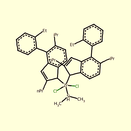 CCCC1=Cc2c(ccc(C(C)C)c2-c2ccccc2CC)[CH]1[Zr]([Cl])([Cl])([CH]1C(CCC)=Cc2c1ccc(C(C)C)c2-c1ccccc1CC)[SiH](C)C